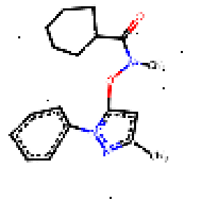 Cc1cc(ON(C)C(=O)C2CCCCC2)n(-c2ccccc2)n1